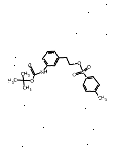 Cc1ccc(S(=O)(=O)OCCc2cccc(NC(=O)OC(C)(C)C)c2)cc1